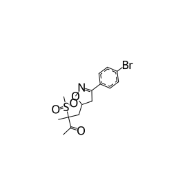 CC(=O)C(C)(CC1CC(c2ccc(Br)cc2)=NO1)S(C)(=O)=O